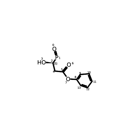 O=P[C@H](O)CC(=O)Oc1ccccc1